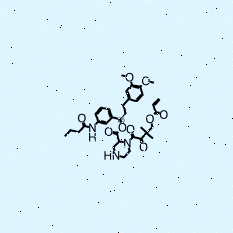 C=CC(=O)OCC(C)(C)C(=O)C(=O)N1CCNCC1C(=O)O[C@H](CCc1ccc(OC)c(OC)c1)c1cccc(NC(=O)CCC)c1